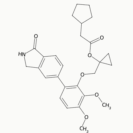 COc1ccc(-c2ccc3c(c2)CNC3=O)c(OCC2(OC(=O)CC3CCCC3)CC2)c1OC